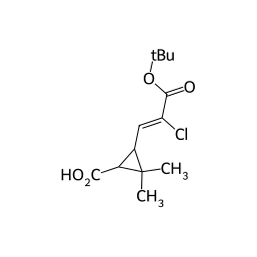 CC(C)(C)OC(=O)C(Cl)=CC1C(C(=O)O)C1(C)C